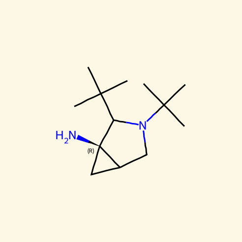 CC(C)(C)C1N(C(C)(C)C)CC2C[C@@]21N